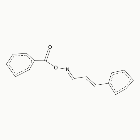 O=C(ON=CC=Cc1ccccc1)c1ccccc1